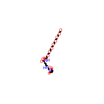 COCCOCCOCCOCCOCCOCCOCCOCCC(=O)N[C@@H](CCCCNC(=O)CN1C(=O)C=CC1=O)C(=O)O